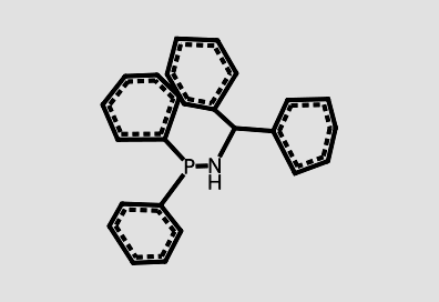 c1ccc(C(NP(c2ccccc2)c2ccccc2)c2ccccc2)cc1